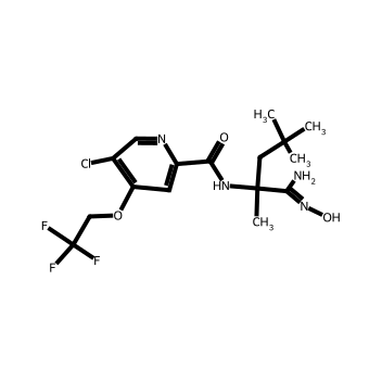 CC(C)(C)CC(C)(NC(=O)c1cc(OCC(F)(F)F)c(Cl)cn1)/C(N)=N/O